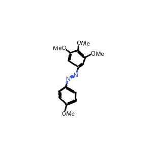 COc1ccc(N=Nc2cc(OC)c(OC)c(OC)c2)cc1